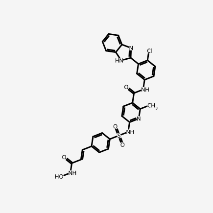 Cc1nc(NS(=O)(=O)c2ccc(/C=C/C(=O)NO)cc2)ccc1C(=O)Nc1ccc(Cl)c(-c2nc3ccccc3[nH]2)c1